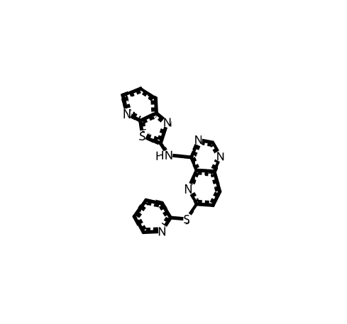 c1ccc(Sc2ccc3ncnc(Nc4nc5cccnc5s4)c3n2)nc1